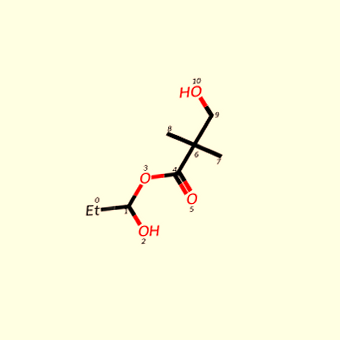 CCC(O)OC(=O)C(C)(C)CO